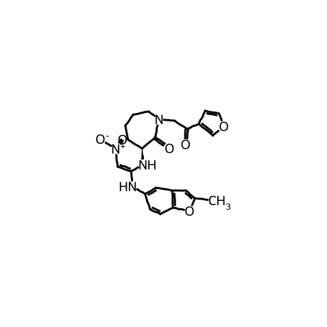 Cc1cc2cc(N/C(=C/[N+](=O)[O-])N[C@H]3CCCCN(CC(=O)c4ccoc4)C3=O)ccc2o1